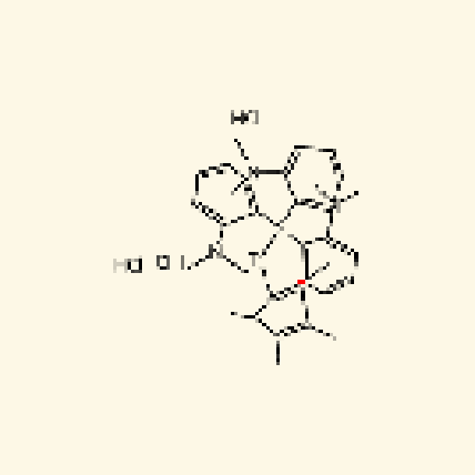 CC1=C(C)C(C)[C]([Ti][Si](c2ccccc2N(C)C)(c2ccccc2N(C)C)c2ccccc2N(C)C)=C1C.Cl.Cl.Cl